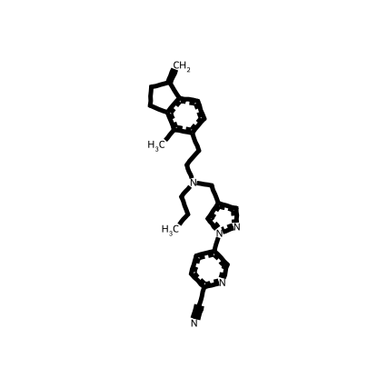 C=C1CCc2c1ccc(CCN(CCC)Cc1cnn(-c3ccc(C#N)nc3)c1)c2C